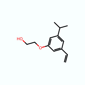 C=Cc1cc(OCCO)cc(C(C)C)c1